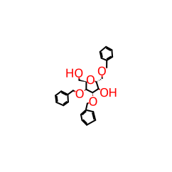 OC[C@H]1O[C@H](COCc2ccccc2)[C@@H](O)[C@H](OCc2ccccc2)[C@@H]1OCc1ccccc1